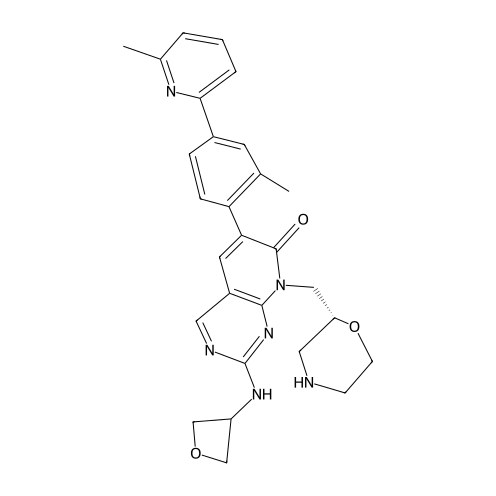 Cc1cccc(-c2ccc(-c3cc4cnc(NC5COC5)nc4n(C[C@H]4CNCCO4)c3=O)c(C)c2)n1